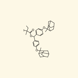 CCC(C)(I)C(=O)OC(c1ccc(OC2(C)C3CC4CC(C3)CC2C4)cc1)c1ccc(OC2(C)C3CC4CC(C3)CC2C4)cc1